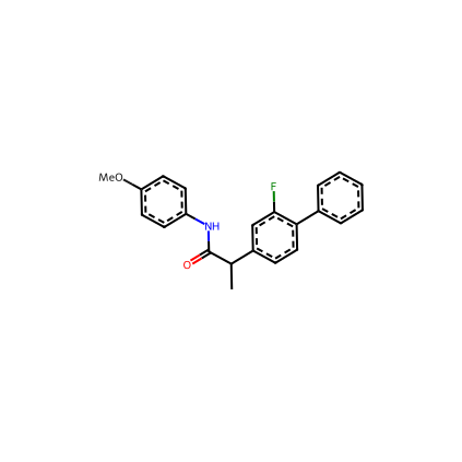 COc1ccc(NC(=O)C(C)c2ccc(-c3ccccc3)c(F)c2)cc1